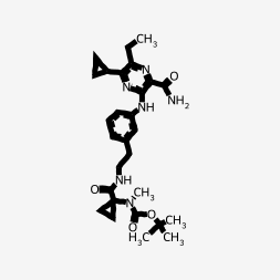 CCc1nc(C(N)=O)c(Nc2cccc(CCNC(=O)C3(N(C)C(=O)OC(C)(C)C)CC3)c2)nc1C1CC1